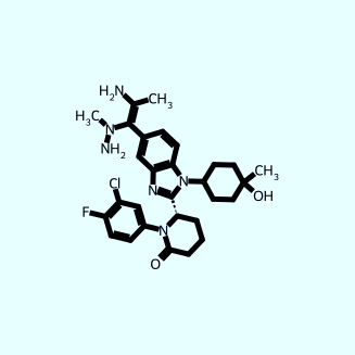 C/C(N)=C(\c1ccc2c(c1)nc([C@@H]1CCCC(=O)N1c1ccc(F)c(Cl)c1)n2C1CCC(C)(O)CC1)N(C)N